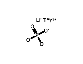 O=P([O-])([O-])[O-].[Li+].[Ti+4].[Y+3]